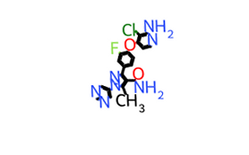 CCc1c(C(N)=O)c(-c2ccc(Oc3ccnc(N)c3Cl)c(F)c2)nn1-c1cncnc1